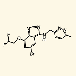 Cc1ccc(CNc2ncnc3c(OCC(F)F)cc(Br)cc23)nn1